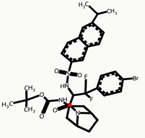 CC(C)c1ccc2cc(S(=O)(=O)NC(C(=O)N3C4CCC3CC(NC(=O)OC(C)(C)C)C4)C(F)(F)c3ccc(Br)cc3)ccc2c1